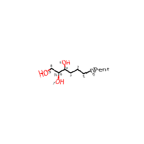 CCCCCCCCC(O)[C@@H](O)CO